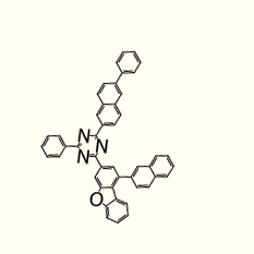 c1ccc(-c2ccc3cc(-c4nc(-c5ccccc5)nc(-c5cc(-c6ccc7ccccc7c6)c6c(c5)oc5ccccc56)n4)ccc3c2)cc1